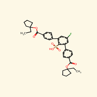 CCC1(OC(=O)c2ccc(-c3cc(F)cc(-c4ccc(C(=O)OC5(CC)CCCC5)cc4)c3S(=O)(=O)O)cc2)CCCC1